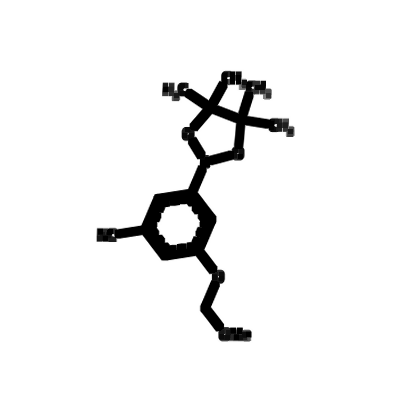 COCOc1cc(C#N)cc(B2OC(C)(C)C(C)(C)O2)c1